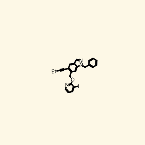 CCC#Cc1cc2cnn(Cc3ccccc3)c2cc1COc1ncccc1I